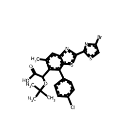 Cc1cc2nc(-c3nc(Br)cs3)sc2c(-c2ccc(Cl)cc2)c1C(OC(C)(C)C)C(=O)O